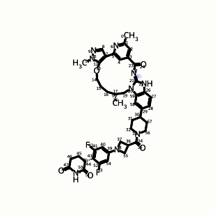 Cc1cc2cc(n1)-c1cnn(C)c1OCCC[C@@H](C)CN1/C(=N/C2=O)Nc2ccc(C3CCN(C(=O)C4CN(c5cc(F)c([C@H]6CCC(=O)NC6=O)c(F)c5)C4)CC3)cc21